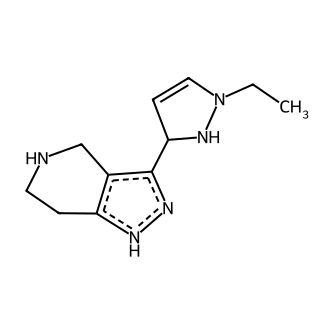 CCN1C=CC(c2n[nH]c3c2CNCC3)N1